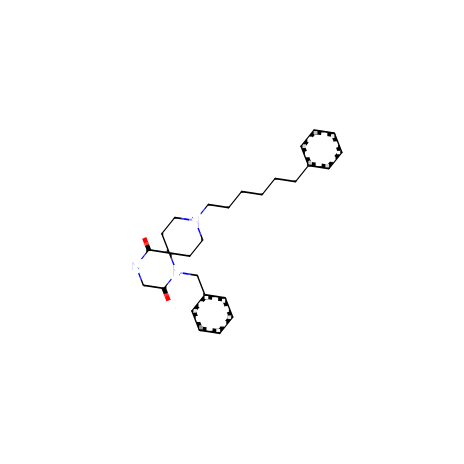 O=C1CNC(=O)C2(CCN(CCCCCCc3ccccc3)CC2)N1Cc1ccccc1